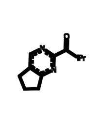 CC(C)C(=O)c1ncc2c(n1)CCC2